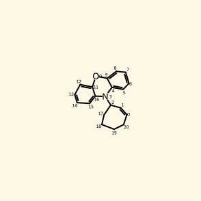 C1=CC(N2c3ccccc3Oc3ccccc32)CCCC1